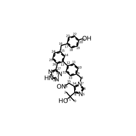 CC(C)(O)c1ncn(Cc2ccc(-c3cc(Cc4ccc(O)cc4)ccc3-c3nn[nH]n3)cc2)c1CN=O